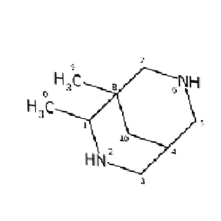 CC1NCC2CNCC1(C)C2